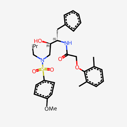 COc1ccc(S(=O)(=O)N(CC(C)C)C[C@@H](O)[C@H](Cc2ccccc2)NC(=O)COc2c(C)cccc2C)cc1